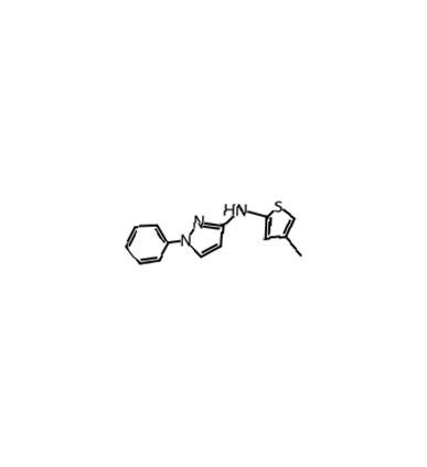 Cc1csc(Nc2ccn(-c3ccccc3)n2)c1